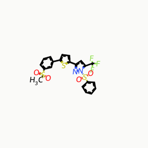 CS(=O)(=O)c1cccc(-c2ccc(-c3cc(C(F)(F)F)n(S(=O)(=O)c4ccccc4)n3)s2)c1